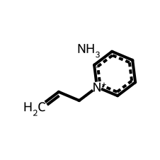 C=CC[n+]1ccccc1.N